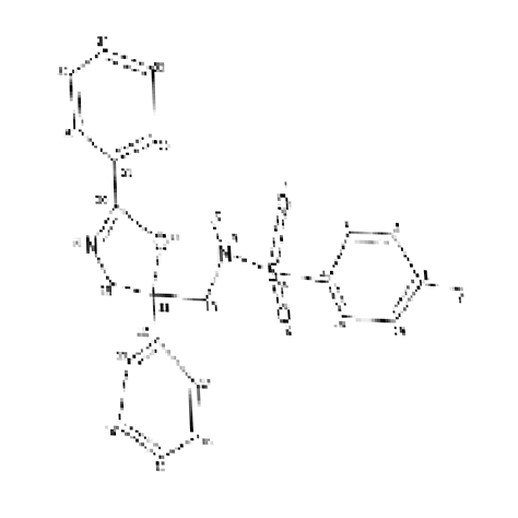 Cc1ccc(S(=O)(=O)N(C)CC2(c3ccccc3)CN=C(c3ccccc3)O2)cc1